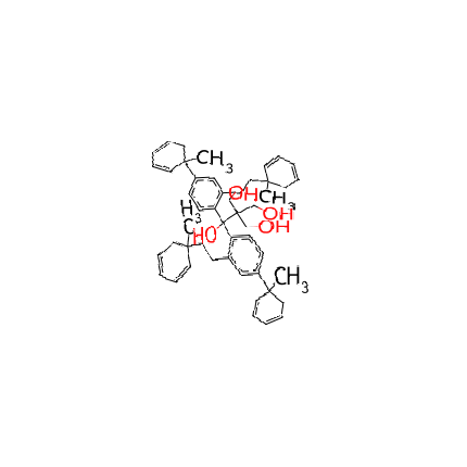 CC1(CCc2cc(C3(C)C=CC=CC3)ccc2C(O)(c2ccc(C3(C)C=CC=CC3)cc2CCC2(C)C=CC=CC2)C(CO)(CO)CO)C=CC=CC1